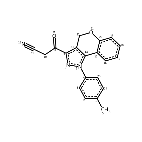 Cc1ccc(-n2nc(C(=O)CC#N)c3c2-c2ccccc2OC3)cc1